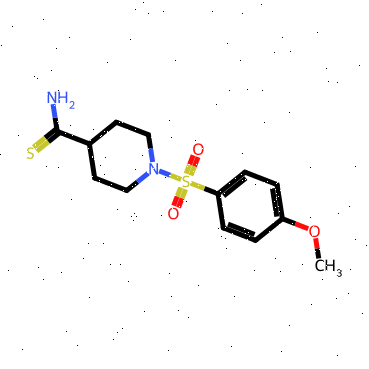 COc1ccc(S(=O)(=O)N2CCC(C(N)=S)CC2)cc1